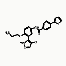 Cn1ncc(Cl)c1-c1cc(NC(=O)c2ccc(-c3cccs3)cc2)ccc1OCCN